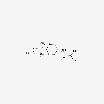 CC(O)C(=O)NC1CCC(C(C)(NC(=O)O)C(C)(C)C)CC1